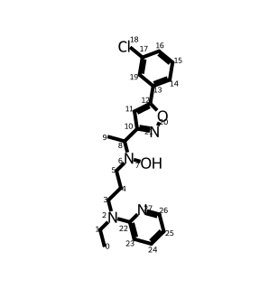 CCN(CCCN(O)C(C)c1cc(-c2cccc(Cl)c2)on1)c1ccccn1